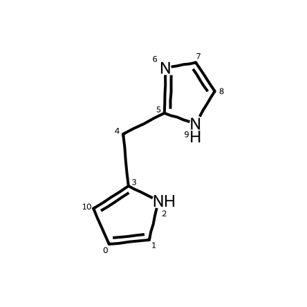 c1c[nH]c(Cc2ncc[nH]2)c1